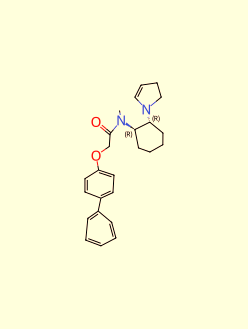 CN(C(=O)COc1ccc(-c2ccccc2)cc1)[C@@H]1CCCC[C@H]1N1C=CCC1